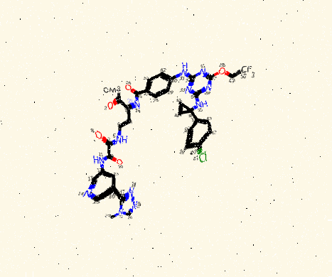 COC(=O)/C(CCNC(=O)C(=O)Nc1cncc(-c2nncn2C)c1)=N\C(=O)c1ccc(Nc2nc(NC3(c4ccc(Cl)cc4)CC3)nc(OCC(F)(F)F)n2)cc1